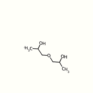 [CH2]C(O)COCC(C)O